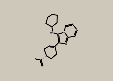 C=C(C)[C@@H]1CC=C(c2nc3cnccn3c2NC2CCCCC2)CC1